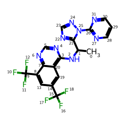 CC(Nc1ncnc2c(C(F)(F)F)cc(C(F)(F)F)cc12)c1ncnn1-c1ncccn1